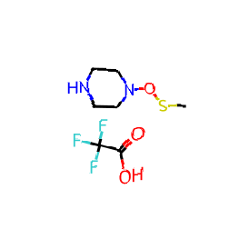 CSON1CCNCC1.O=C(O)C(F)(F)F